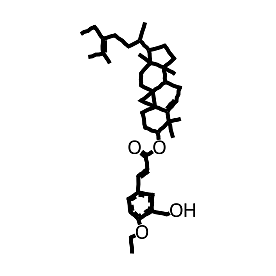 CCOc1ccc(/C=C/C(=O)OC2CCC34CC35CCC3(C)C(C(C)CCC(CC)=C(C)C)CCC3(C)C5CC=C4C2(C)C)cc1CO